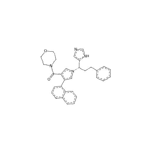 O=C(c1cn(C(CCc2ccccc2)c2cnc[nH]2)cc1-c1cccc2ccccc12)N1CCOCC1